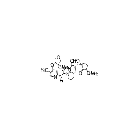 CO[C@H]1CCN(Cc2cc3c(nc2C=O)N(C(=O)Nc2cc(O[C@@H]4COC[C@H]4OC)c(C#N)cn2)CCC3)C1=O